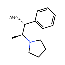 CN[C@H](c1ccccc1)[C@H](C)N1CCCC1